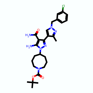 Cc1nn(Cc2cccc(Cl)c2)cc1-c1nn(C2CCCN(C(=O)OC(C)(C)C)CCC2)c(N)c1C(N)=O